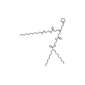 CCCCCCCCCCSSCCOC(=O)CCN(CCCN1CCCC1)CCC(=O)OCCOC(=O)C(CCCCCCCC)CCCCCCCC